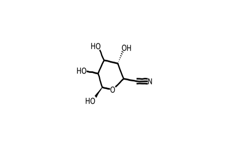 N#CC1O[C@@H](O)C(O)C(O)[C@@H]1O